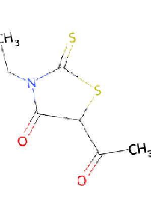 CCN1C(=O)C(C(C)=O)SC1=S